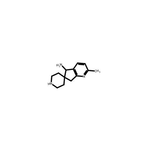 Cc1ccc2c(n1)CC1(CCNCC1)C2N